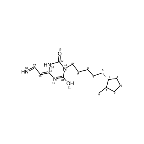 CC1CCC[C@H]1CCCCCN1C(=O)N/C(=C\C=N)N=C1O